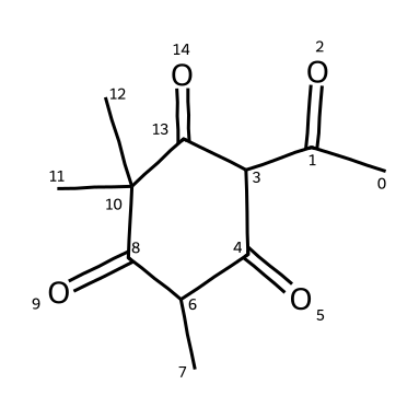 CC(=O)C1C(=O)C(C)C(=O)C(C)(C)C1=O